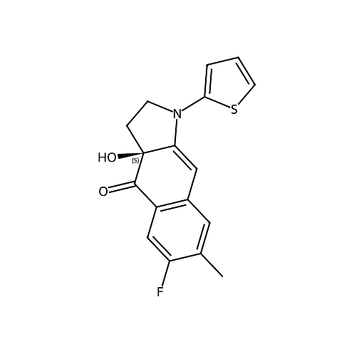 Cc1cc2c(cc1F)C(=O)[C@]1(O)CCN(c3cccs3)C1=C2